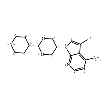 Nc1ncnc2c1c(I)cn2[C@H]1CO[C@@H](C2CCNCC2)OC1